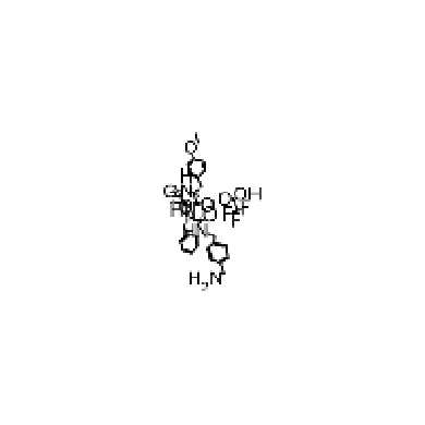 CCOc1ccc(C[C@@H](NS(C)(=O)=O)C(=O)N[C@@H](Cc2ccccc2)C(=O)NCc2ccc(CN)cc2)cc1.O=C(O)C(F)(F)F